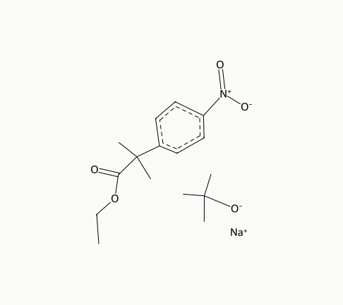 CC(C)(C)[O-].CCOC(=O)C(C)(C)c1ccc([N+](=O)[O-])cc1.[Na+]